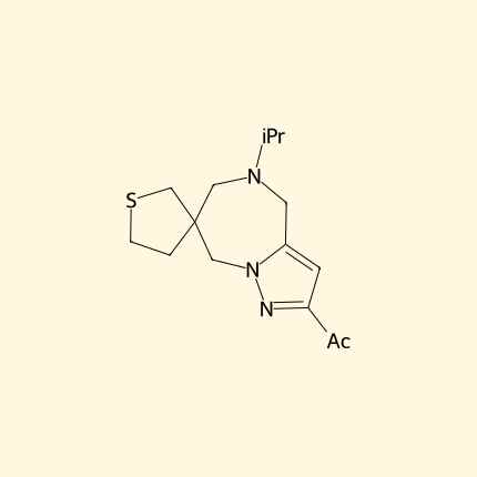 CC(=O)c1cc2n(n1)CC1(CCSC1)CN(C(C)C)C2